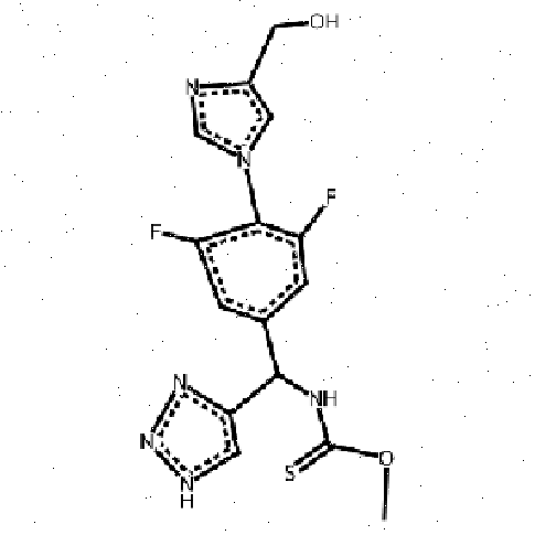 COC(=S)NC(c1cc(F)c(-n2cnc(CO)c2)c(F)c1)c1c[nH]nn1